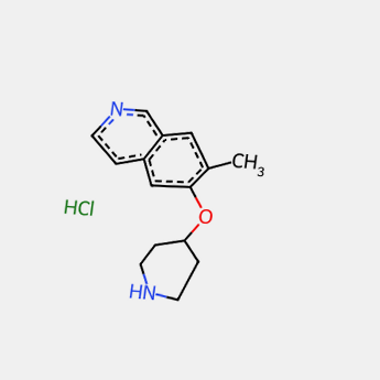 Cc1cc2cnccc2cc1OC1CCNCC1.Cl